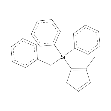 CC1=C([Si](Cc2ccccc2)(c2ccccc2)c2ccccc2)CC=C1